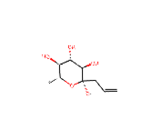 C=CC[C@@]1([O])O[C@H](C)[C@@H](O)[C@H](O)[C@H]1O